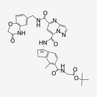 Cc1c(C(=O)NCC(=O)OC(C)(C)C)ccc2c1CC[C@@H]2NC(=O)c1cc(C(=O)NCc2ccc3c(c2)NC(=O)CO3)nc2ccnn12